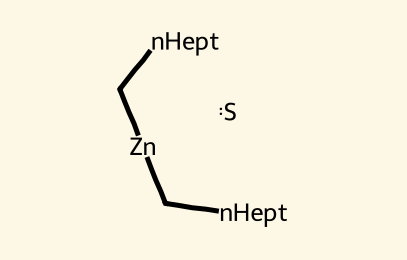 CCCCCCC[CH2][Zn][CH2]CCCCCCC.[S]